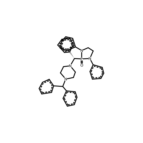 O=P1([C@@H](c2ccccc2)N2CCN(C(c3ccccc3)c3ccccc3)CC2)N(c2ccccc2)CCN1c1ccccc1